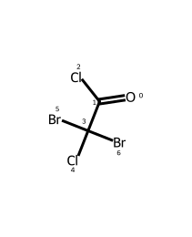 O=C(Cl)C(Cl)(Br)Br